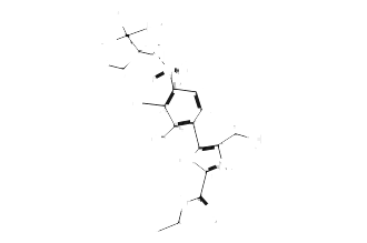 CCOC(=O)c1nc(CO)c(-c2ccc(S(=O)(=O)N[C@@H](CC)C(F)(F)F)c(Cl)c2Cl)s1